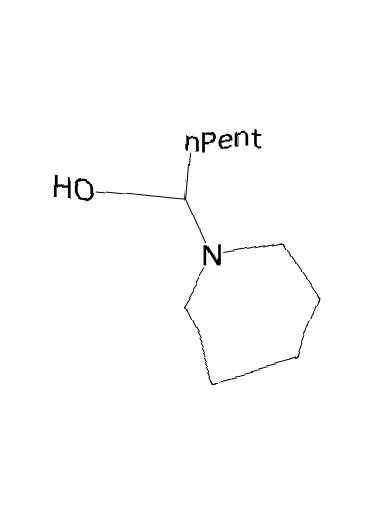 CCCCCC(O)N1CCCCC1